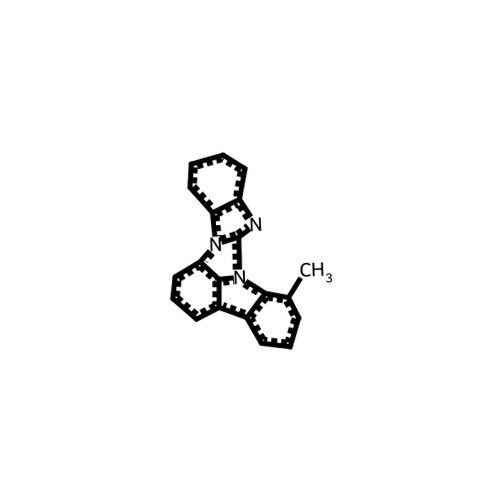 Cc1cccc2c3cccc4c3n(c12)c1nc2ccccc2n41